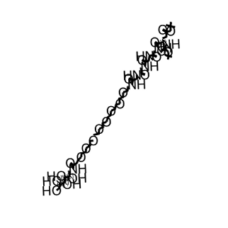 CC(C)(C)OC(=O)CC[C@H](NC(=O)OC(C)(C)C)C(=O)NCC(=O)NCC(=O)NCC(=O)NCC(=O)NCCOCCOCCOCCOCCOCCOCCOCCOCCC(=O)NC[C@H](O)[C@@H](O)[C@H](O)[C@H](O)CO